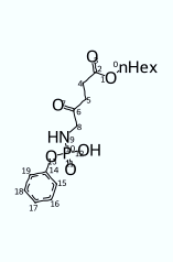 CCCCCCOC(=O)CCC(=O)CNP(=O)(O)Oc1ccccc1